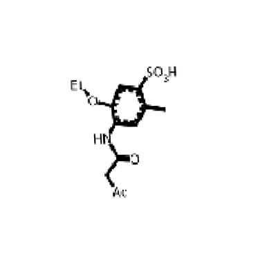 CCOc1cc(S(=O)(=O)O)c(C)cc1NC(=O)CC(C)=O